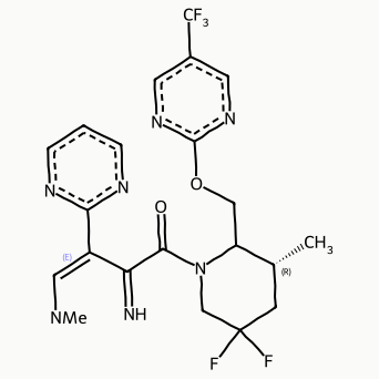 CN/C=C(\C(=N)C(=O)N1CC(F)(F)C[C@@H](C)C1COc1ncc(C(F)(F)F)cn1)c1ncccn1